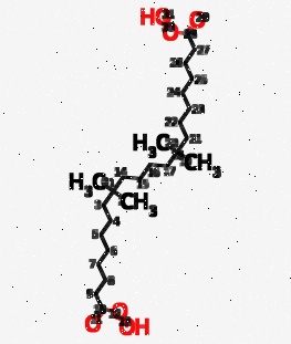 CC(C)(CCCCCCCC(=O)OO)CCCCC(C)(C)CCCCCCCC(=O)OO